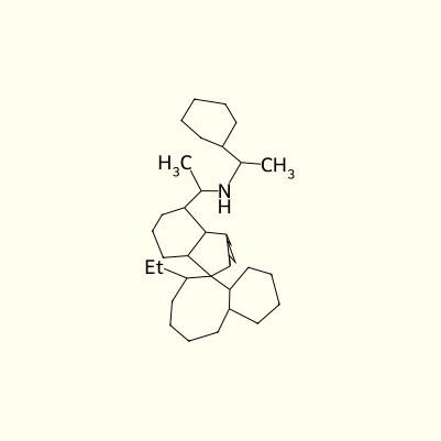 CCC1CCCCC2CCCCC2C12C1CCCCC1C1C(C(C)NC(C)C3CCCCC3)CCCC12